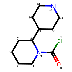 O=C(Cl)N1CCCCC1C1CCNCC1